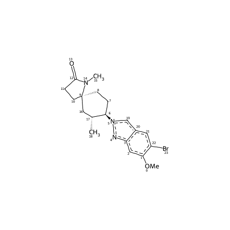 COc1cc2nn([C@@H]3CC[C@@]4(CCC(=O)N4C)C[C@H]3C)cc2cc1Br